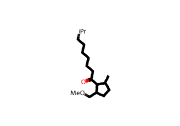 COCC1CCC(C)C1C(=O)CCCCCCC(C)C